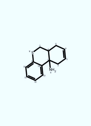 NC12CC=CCC1CSc1ccccc12